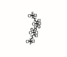 O=C(OOC(=O)C(Cl)(Cl)C(Cl)CCCC(F)(Cl)Cl)C(Cl)(Cl)C(Cl)CCCC(F)(Cl)Cl